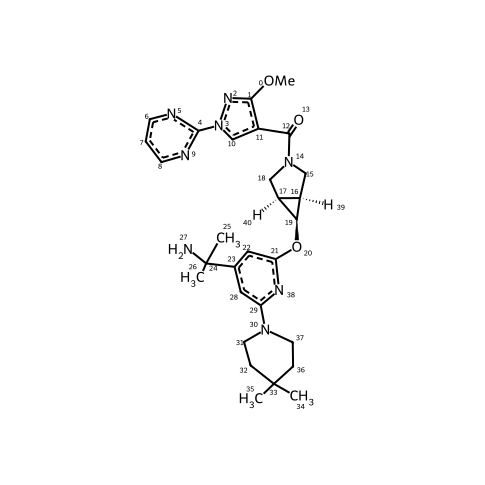 COc1nn(-c2ncccn2)cc1C(=O)N1C[C@@H]2[C@H](C1)[C@@H]2Oc1cc(C(C)(C)N)cc(N2CCC(C)(C)CC2)n1